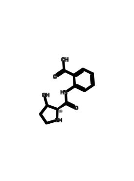 O=C(O)c1ccccc1NC(=O)[C@H]1NCCC1O